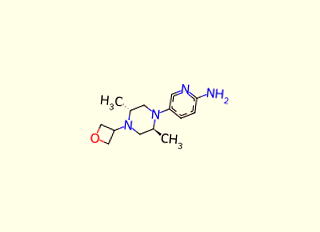 C[C@@H]1CN(c2ccc(N)nc2)[C@@H](C)CN1C1COC1